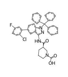 O=C(Nc1nn(C(c2ccccc2)(c2ccccc2)c2ccccc2)c2ccc(-c3cc(F)ccc3Cl)cc12)[C@@H]1CCCN(C(=O)O)C1